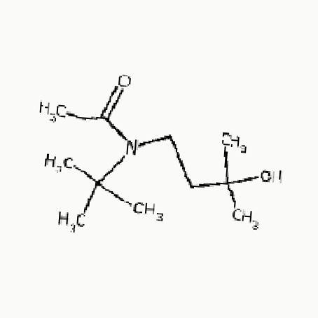 CC(=O)N(CCC(C)(C)O)C(C)(C)C